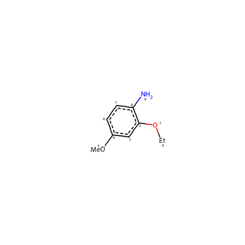 CCOc1cc(OC)ccc1N